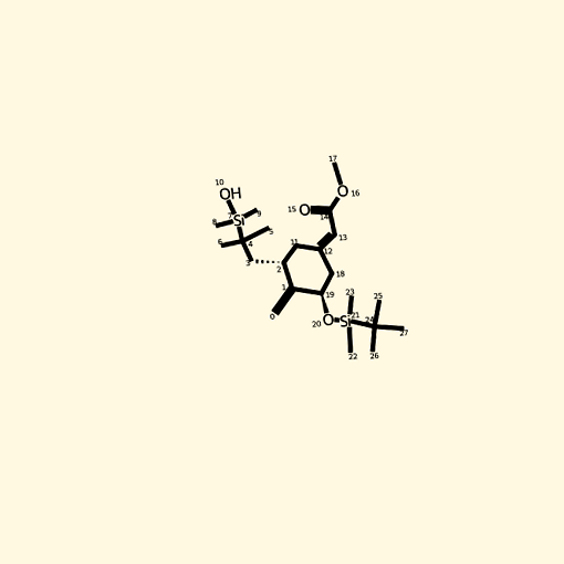 C=C1[C@H](CC(C)(C)[Si](C)(C)O)C/C(=C\C(=O)OC)C[C@H]1O[Si](C)(C)C(C)(C)C